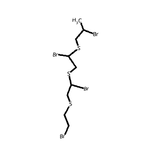 CC(Br)CSC(Br)CSC(Br)CSCCBr